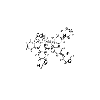 CCC1(CC)c2ccccc2-c2c1c1c(c3cc(OC)ccc23)OC(C2=CC=C(N3CCOCC3)CC2)(c2ccc(N3CCOCC3)cc2)C=C1